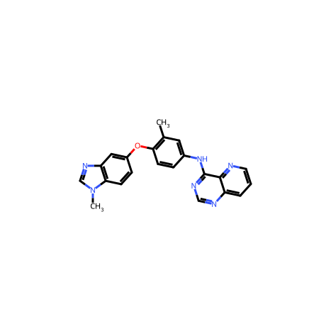 Cc1cc(Nc2ncnc3cccnc23)ccc1Oc1ccc2c(c1)ncn2C